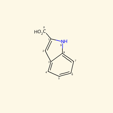 O=C(O)c1cc2cc[c]cc2[nH]1